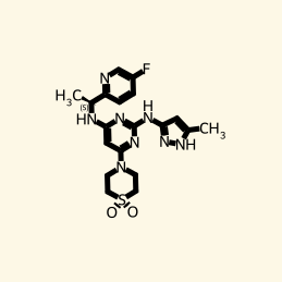 Cc1cc(Nc2nc(N[C@@H](C)c3ccc(F)cn3)cc(N3CCS(=O)(=O)CC3)n2)n[nH]1